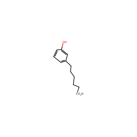 O=C(O)CCCCCc1cccc(O)c1